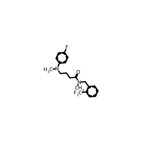 CN(Cc1ccccc1C(F)(F)F)C(=O)CCCN(C)c1ccc(F)cc1